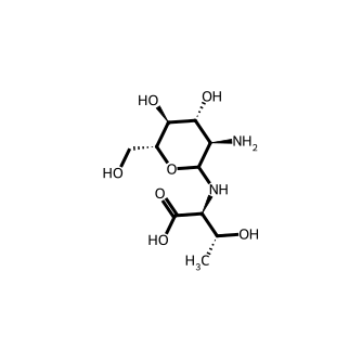 C[C@@H](O)[C@H](NC1O[C@H](CO)[C@@H](O)[C@H](O)[C@H]1N)C(=O)O